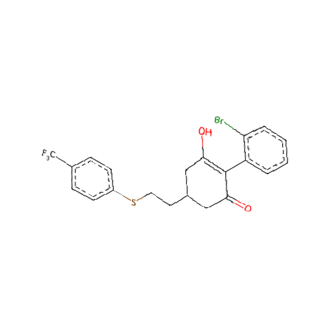 O=C1CC(CCSc2ccc(C(F)(F)F)cc2)CC(O)=C1c1ccccc1Br